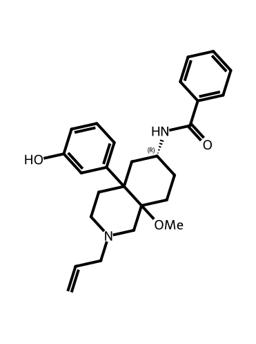 C=CCN1CCC2(c3cccc(O)c3)C[C@H](NC(=O)c3ccccc3)CCC2(OC)C1